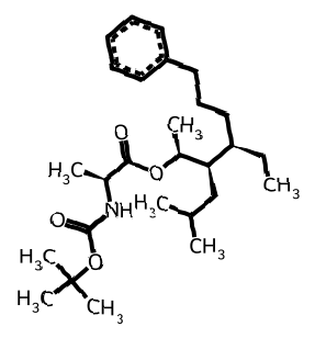 CC[C@H](CCCc1ccccc1)[C@@H](CC(C)C)[C@H](C)OC(=O)[C@H](C)NC(=O)OC(C)(C)C